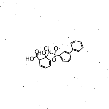 O=C(O)C1C=CC=CC1(O)N(Cl)S(=O)(=O)c1cccc(-c2ccccc2)c1